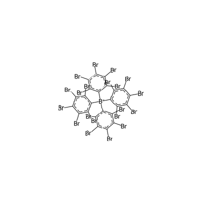 Brc1c(Br)c(Br)c([B-](c2c(Br)c(Br)c(Br)c(Br)c2Br)(c2c(Br)c(Br)c(Br)c(Br)c2Br)c2c(Br)c(Br)c(Br)c(Br)c2Br)c(Br)c1Br